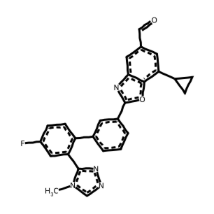 Cn1cnnc1-c1cc(F)ccc1-c1cccc(-c2nc3cc(C=O)cc(C4CC4)c3o2)c1